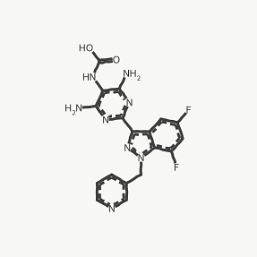 Nc1nc(-c2nn(Cc3cccnc3)c3c(F)cc(F)cc23)nc(N)c1NC(=O)O